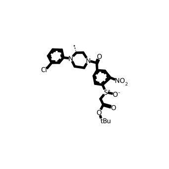 C[C@@H]1CN(C(=O)c2ccc([S+]([O-])CC(=O)OC(C)(C)C)c([N+](=O)[O-])c2)CCN1c1cccc(Cl)c1